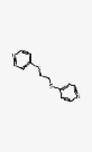 c1cc(SCCSc2ccncc2)ccn1